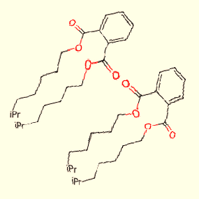 CC(C)CCCCCOC(=O)c1ccccc1C(=O)OCCCCCC(C)C.CC(C)CCCCCOC(=O)c1ccccc1C(=O)OCCCCCC(C)C